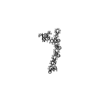 CC(C)n1cnc2cc(-c3ccc4c(c3)N([C@H]3C[C@@H](N5CCCCC5)C3)C(=O)C43CCN(C(=O)C4(C)CCN(C(=O)C5(C)CCN(c6ccc(C7CCC(=O)NC7=O)cn6)CC5)CC4)CC3)nc(NC3CC3)c21